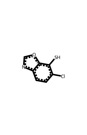 Sc1c(Cl)ccc2ncoc12